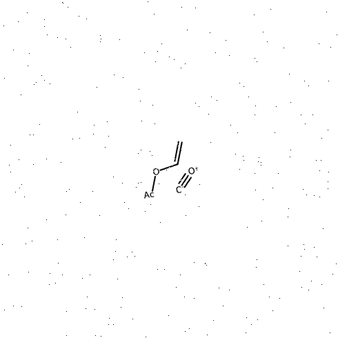 C=COC(C)=O.[C-]#[O+]